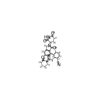 N#Cc1ccccc1CN[C@@H]1CCCC[C@H]1Oc1ccc2c(c1)CN(C1CCC(=O)NC1=O)C2=O